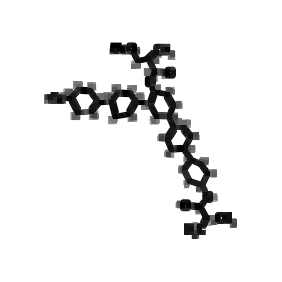 C=C(C)C(=O)OC1CCC(c2ccc(-c3ccc(OC(=O)C(=C)COC)c(-c4ccc(-c5ccc(CCCC)cc5)cc4)c3)cc2)CC1